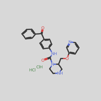 Cl.Cl.O=C(c1ccccc1)c1ccc(NC(=O)N2CCNCC2COc2cccnc2)cc1